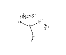 FC(F)F.N=S.[Zn]